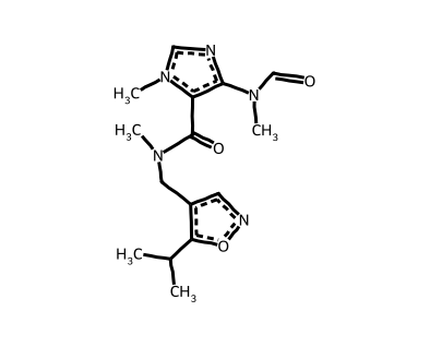 CC(C)c1oncc1CN(C)C(=O)c1c(N(C)C=O)ncn1C